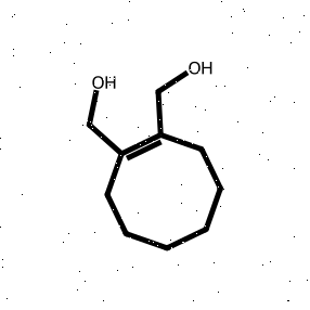 OC/C1=C(\CO)CCCCCC1